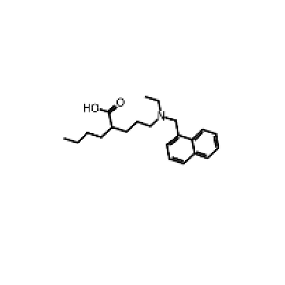 CCCCC(CCCN(CC)Cc1cccc2ccccc12)C(=O)O